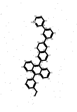 CCc1cccc(-c2c3ccccc3c(-c3ccc4c(c3)CCC(c3cccc(-c5cccnc5)c3)=C4)c3ccccc23)c1